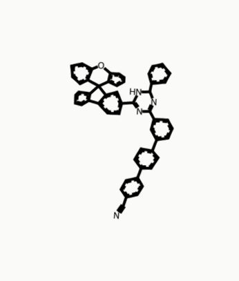 N#Cc1ccc(-c2ccc(-c3cccc(C4=NC(c5ccccc5)NC(c5ccc6c(c5)C5(c7ccccc7Oc7ccccc75)c5ccccc5-6)=N4)c3)cc2)cc1